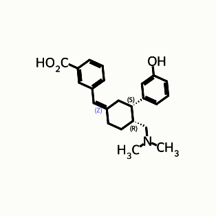 CN(C)C[C@@H]1CC/C(=C/c2cccc(C(=O)O)c2)C[C@@H]1c1cccc(O)c1